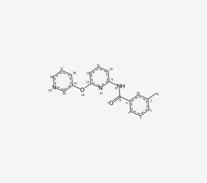 Cc1cccc(C(=O)Nc2cccc(Oc3cccnc3)n2)c1